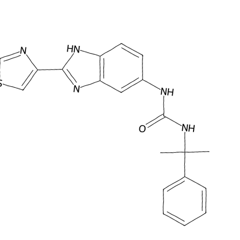 CC(C)(NC(=O)Nc1ccc2[nH]c(-c3cscn3)nc2c1)c1ccccc1